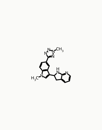 Cn1nnc(-c2ccc3c(c2)c(C2Cc4cccnc4N2)cn3C)n1